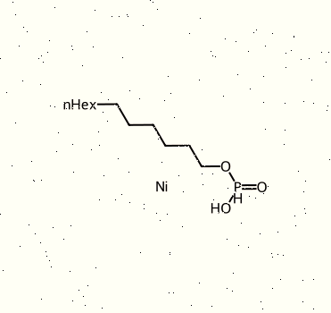 CCCCCCCCCCCCO[PH](=O)O.[Ni]